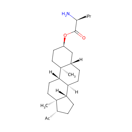 CC(=O)[C@H]1CC[C@H]2[C@@H]3CC[C@H]4C[C@H](OC(=O)[C@@H](N)C(C)C)CC[C@]4(C)[C@H]3CC[C@]12C